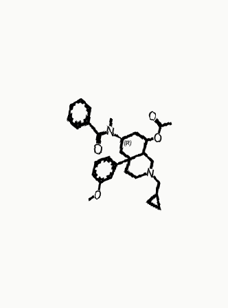 COc1cccc(C23CCN(CC4CC4)CC2C(OC(C)=O)C[C@H](N(C)C(=O)c2ccccc2)C3)c1